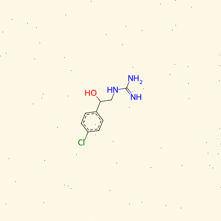 N=C(N)NCC(O)c1ccc(Cl)cc1